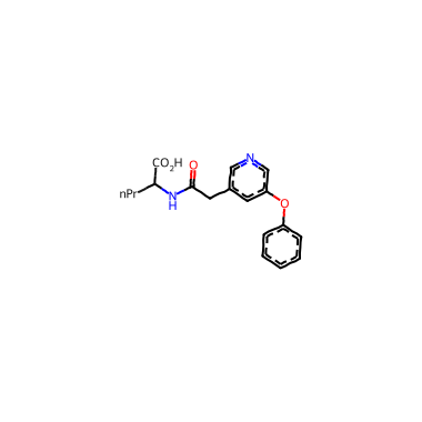 CCCC(NC(=O)Cc1cncc(Oc2ccccc2)c1)C(=O)O